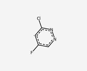 Fc1[c]c(Cl)nnc1